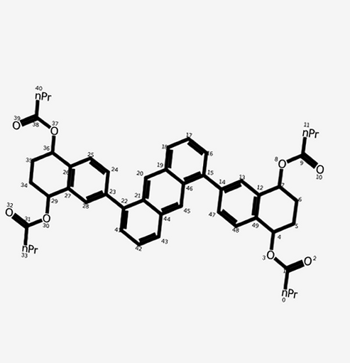 CCCC(=O)OC1CCC(OC(=O)CCC)c2cc(-c3cccc4cc5c(-c6ccc7c(c6)C(OC(=O)CCC)CCC7OC(=O)CCC)cccc5cc34)ccc21